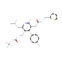 Cc1ccc(-c2c(CC(=O)NCc3cccs3)c(C)nc(CC(C)C)c2CNC(=O)OC(C)(C)C)cc1